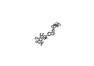 CS(=O)(=O)CC(=O)N1CC2(C1)OCc1cc(C3=NOC(c4cc(Cl)c(Cl)c(C(F)(F)F)c4)(C(F)(F)F)C3)ccc12